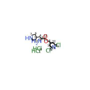 Cl.Cl.N[C@@H](CC1CCNCC1)C(=O)OCc1cc(Cl)nc(Cl)c1